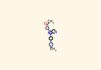 C=CC(=O)N1CCC(n2nc(-c3ccc(N4CCN(C)CC4)cc3)c3cnccc32)C1